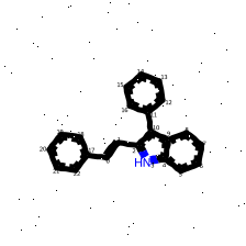 C(=Cc1[nH]c2ccccc2c1-c1ccccc1)c1ccccc1